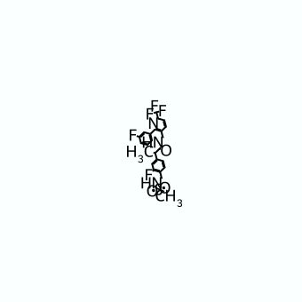 CC(C(=O)NCc1ccc(C(F)(F)F)nc1-c1cccc(F)c1)c1ccc(CNS(C)(=O)=O)c(F)c1